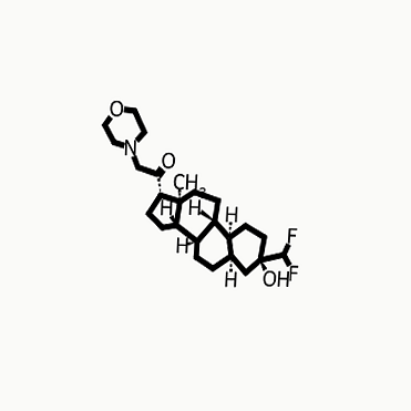 C[C@]12CC[C@H]3[C@@H](CC[C@@H]4C[C@@](O)(C(F)F)CC[C@@H]43)[C@@H]1CC[C@@H]2C(=O)CN1CCOCC1